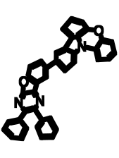 c1ccc(-c2nc3oc4ccc(-c5ccc6c(c5)c5cccc7c5n6-c5ccccc5O7)cc4c3nc2-c2ccccc2)cc1